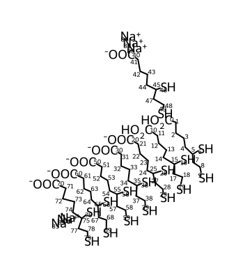 O=C(O)CCCCC(S)CCS.O=C(O)CCCCC(S)CCS.O=C([O-])CCCCC(S)CCS.O=C([O-])CCCCC(S)CCS.O=C([O-])CCCCC(S)CCS.O=C([O-])CCCCC(S)CCS.O=C([O-])CCCCC(S)CCS.O=C([O-])CCCCC(S)CCS.[Na+].[Na+].[Na+].[Na+].[Na+].[Na+]